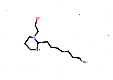 CCCCCCCCCCCCCCCCCC1NCCCN1CCO